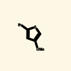 COc1csc(Br)c1